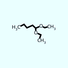 CCCCC(OCC)OCC